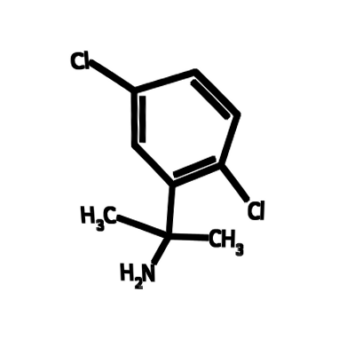 CC(C)(N)c1cc(Cl)ccc1Cl